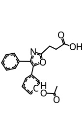 CC(=O)O.O=C(O)CCc1nc(-c2ccccc2)c(-c2ccccc2)o1